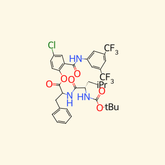 CC(C)C[C@H](NC(=O)OC(C)(C)C)C(=O)NC(Cc1ccccc1)C(=O)Oc1ccc(Cl)cc1C(=O)Nc1cc(C(F)(F)F)cc(C(F)(F)F)c1